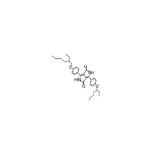 CCCCC(CC)COc1ccc(C2=C3C(=O)NC(c4ccc(OC(CC)CCCC)cc4)=C3C(=O)N2)cc1